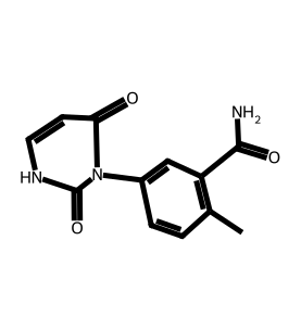 Cc1ccc(-n2c(=O)cc[nH]c2=O)cc1C(N)=O